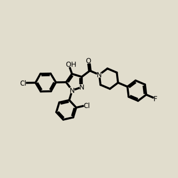 O=C(c1nn(-c2ccccc2Cl)c(-c2ccc(Cl)cc2)c1O)N1CCC(c2ccc(F)cc2)CC1